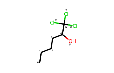 CCCCC(O)C(Cl)(Cl)Cl